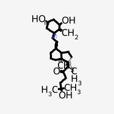 C=C1/C(=C\C=C2CCC[C@@]3(C)C2CC[C@@H]3[C@H](C)C(=O)CCC(C)(C)O)C[C@@H](O)CC1O